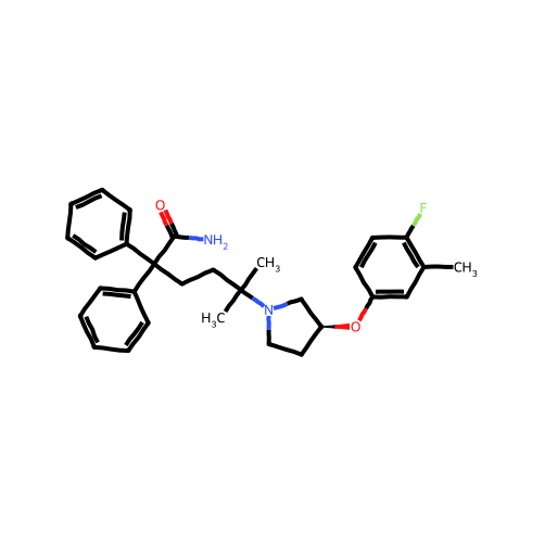 Cc1cc(O[C@H]2CCN(C(C)(C)CCC(C(N)=O)(c3ccccc3)c3ccccc3)C2)ccc1F